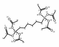 CC(=O)O[Si](CCCCCC[Si](OC(C)=O)(OC(C)=O)OC(C)=O)(OC(C)=O)OC(C)=O